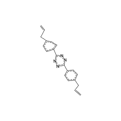 C=CCc1ccc(-c2nnc(-c3ccc(CC=C)cc3)nn2)cc1